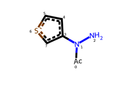 CC(=O)N(N)c1ccsc1